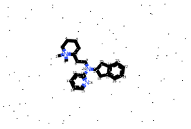 C[N+]1(C)CCCCC1CCN(c1ccccn1)C1Cc2ccccc2C1